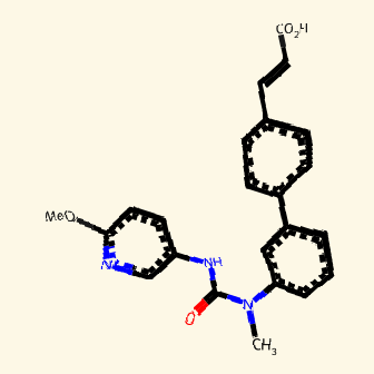 COc1ccc(NC(=O)N(C)c2cccc(-c3ccc(C=CC(=O)O)cc3)c2)cn1